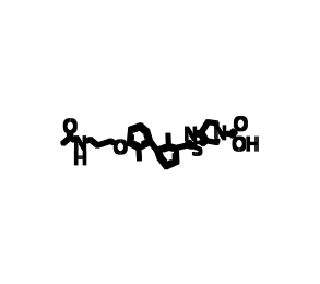 CC(=O)NCCCOc1cccc(-c2cccc(-c3nc4c(s3)CN(C(=O)O)CC4)c2C)c1C